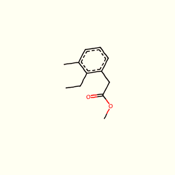 CCc1c(C)cccc1CC(=O)OC